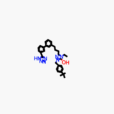 CCN1C(CCCc2cccc(-c3cccc(-c4nnn[nH]4)c3)c2)=NN(Cc2ccc(C(C)(C)C)cc2)C1O